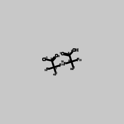 O=C(Cl)C(F)(F)F.O=C(O)C(F)(F)F